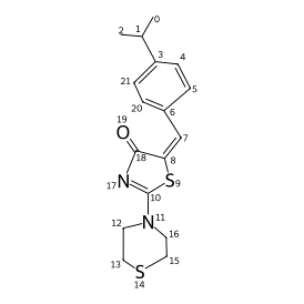 CC(C)c1ccc(C=C2SC(N3CCSCC3)=NC2=O)cc1